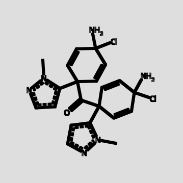 Cn1nccc1C1(C(=O)C2(c3ccnn3C)C=CC(N)(Cl)C=C2)C=CC(N)(Cl)C=C1